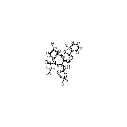 CCC(C)(C)C(=O)N1CC(NC(=O)OC(C)(C)C)C(=O)N(CC(=O)c2ccccc2C)c2cc(C)ccc21